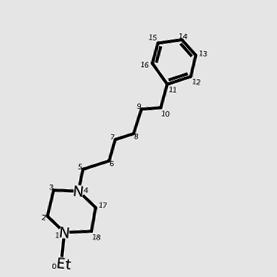 CCN1CCN(CCCCCCc2ccccc2)CC1